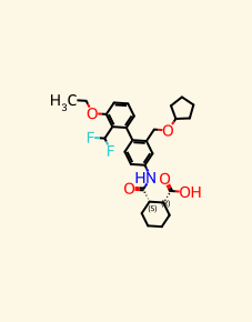 CCOc1cccc(-c2ccc(NC(=O)[C@H]3CCCC[C@H]3C(=O)O)cc2COC2CCCC2)c1C(F)F